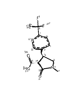 CN1C[C@H](c2ccc(C(F)(F)F)nc2)[C@@H](C(=O)O)C1=O